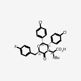 CCCC[C@H](C(=O)O)N1C(=O)[C@@H](Cc2ccc(F)cc2)O[C@H](c2ccc(Cl)cc2)[C@@H]1c1ccc(Cl)cc1